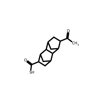 CC(=O)C1CC2CC1C1C3CC(C(=O)S)C(C3)C21